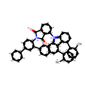 N#Cc1ccccc1-c1cccc2c1c1c(-c3ccccc3C#N)cccc1n2-c1cccc2c1C(=O)N(c1ccc(-c3ccccc3)cc1-c1ccccc1)C2=O